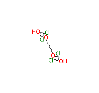 Oc1cc(Cl)c(OCCCCCCCCOc2c(Cl)cc(O)cc2Cl)c(Cl)c1